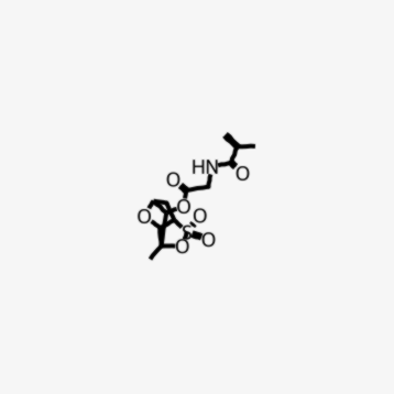 C=C(C)C(=O)NCC(=O)OC1C2CC3C(O2)C1(C)OS3(=O)=O